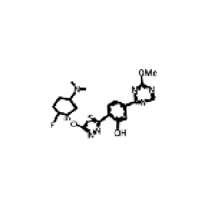 COc1ncnc(-c2ccc(-c3nnc(O[C@H]4CC(N(C)C)CCC4F)s3)c(O)c2)n1